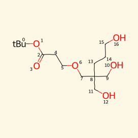 CC(C)(C)OC(=O)CCOCC(CO)(CO)CCCO